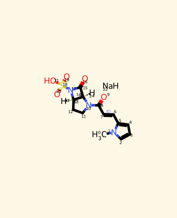 Cn1cccc1/C=C/C(=O)N1CC[C@@H]2[C@H]1C(=O)N2S(=O)(=O)O.[NaH]